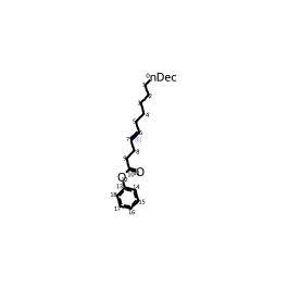 CCCCCCCCCCCCCCC/C=C/CCC(=O)Oc1ccccc1